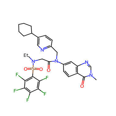 CCN(CC(=O)N(Cc1ccc(C2CCCCC2)cn1)c1ccc2c(=O)n(C)cnc2c1)S(=O)(=O)c1c(F)c(F)c(F)c(F)c1F